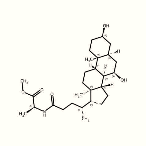 COC(=O)[C@H](C)NC(=O)CC[C@@H](C)[C@H]1CC[C@H]2[C@@H]3[C@H](O)C[C@@H]4C[C@H](O)CC[C@]4(C)[C@H]3CC[C@]12C